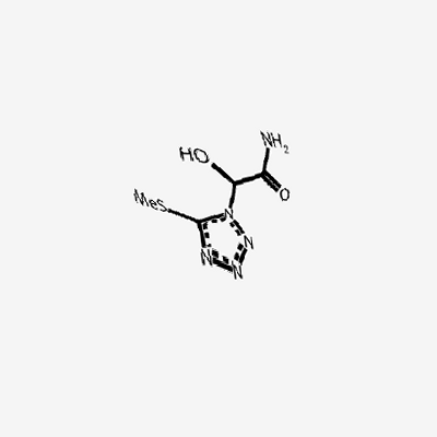 CSc1nnnn1C(O)C(N)=O